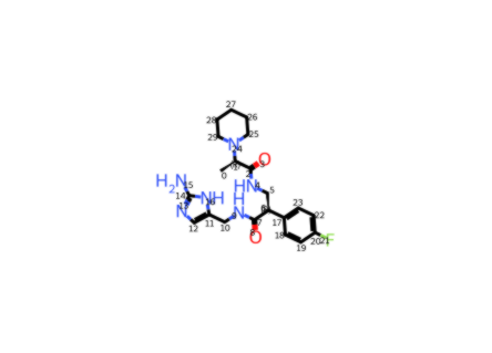 C[C@H](C(=O)NC[C@H](C(=O)NCc1cnc(N)[nH]1)c1ccc(F)cc1)N1CCCCC1